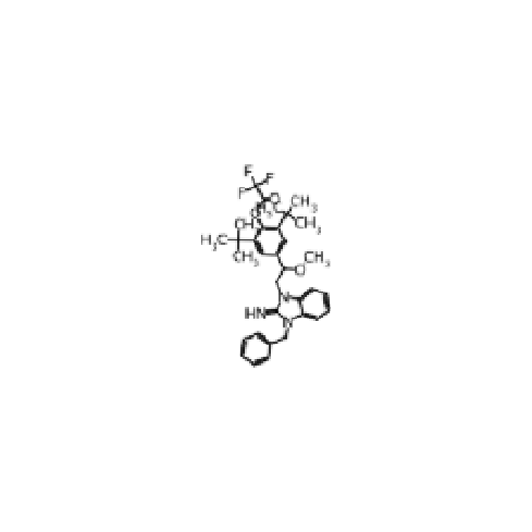 COC(Cn1c(=N)n(Cc2ccccc2)c2ccccc21)c1cc(C(C)(C)C)c(OC(=O)C(F)(F)F)c(C(C)(C)C)c1